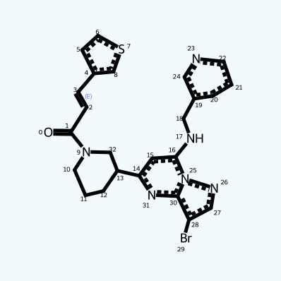 O=C(/C=C/c1ccsc1)N1CCCC(c2cc(NCc3cccnc3)n3ncc(Br)c3n2)C1